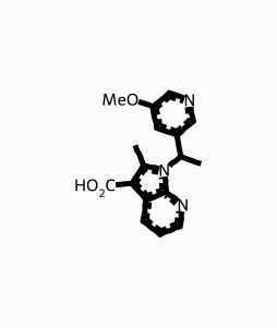 COc1cncc(C(C)n2c(C)c(C(=O)O)c3cccnc32)c1